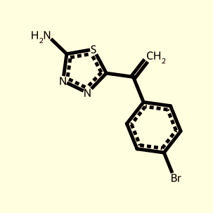 C=C(c1ccc(Br)cc1)c1nnc(N)s1